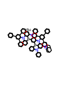 CC(C)(C)c1cc2c3c(c1)N(c1c(-c4ccccc4)cc(-c4ccccc4)cc1-c1ccccc1)c1ccccc1B3c1cc3c(cc1N2c1ccccc1)N(c1c(-c2ccccc2)cc(-c2ccccc2)cc1-c1ccccc1)c1cc(N2C4CC5CC(C4)CC2C5)cc2c1B3c1ccccc1N2c1ccccc1